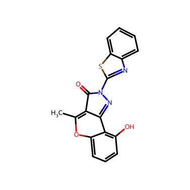 Cc1oc2cccc(O)c2c2nn(-c3nc4ccccc4s3)c(=O)c1-2